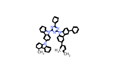 C=C/C=C\C(=C/C)c1ccc2c(c1)c1cc(-c3ccccc3)ccc1n2-c1nc(C2=CC=CCC2)nc(-n2c3ccccc3c3cc(-n4c5c(c6ccccc64)[C@@H](C)CC=C5)ccc32)n1